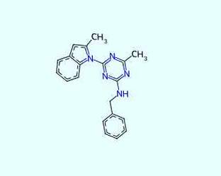 Cc1nc(NCc2ccccc2)nc(-n2c(C)cc3ccccc32)n1